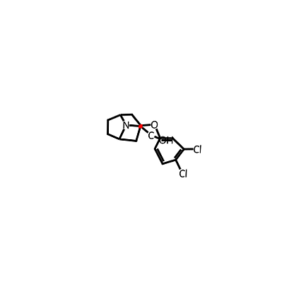 OCCN1C2CCC1CC(Oc1ccc(Cl)c(Cl)c1)C2